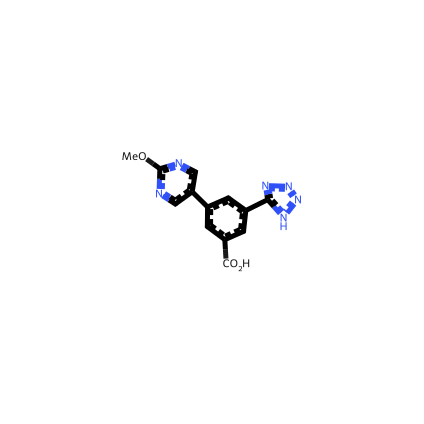 COc1ncc(-c2cc(C(=O)O)cc(-c3nnn[nH]3)c2)cn1